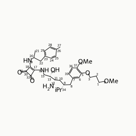 COCCCOc1cc(C[C@@H](C[C@H](N)[C@@H](O)CNc2c(NC(C)Cc3ccc(C)cc3)c(=O)c2=O)C(C)C)ccc1OC